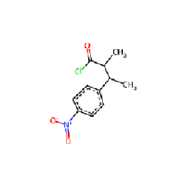 CC(C(=O)Cl)C(C)c1ccc([N+](=O)[O-])cc1